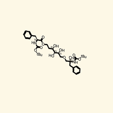 CC(C)(C)OC(=O)N[C@@H](Cc1ccccc1)C(=O)OCC[C@@H](O)[C@H](O)[C@@H](O)COC[C@@](C=O)(Cc1ccccc1)NC(=O)OC(C)(C)C